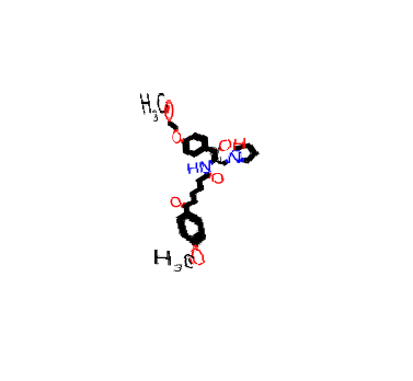 COCCOc1ccc([C@@H](O)[C@@H](CN2CCCC2)NC(=O)CCCCC(=O)c2ccc(OC)cc2)cc1